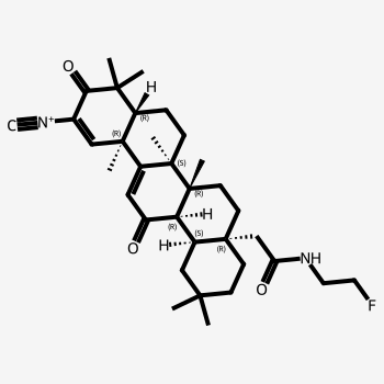 [C-]#[N+]C1=C[C@]2(C)C3=CC(=O)[C@@H]4[C@@H]5CC(C)(C)CC[C@]5(CC(=O)NCCF)CC[C@@]4(C)[C@]3(C)CC[C@H]2C(C)(C)C1=O